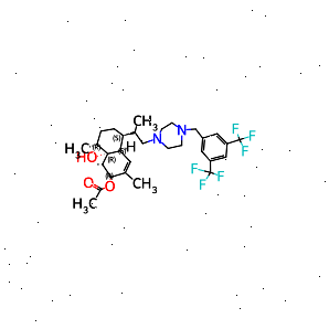 CC(=O)O[C@@H]1[CH][C@@]2(O)[C@H](C)CC[C@@H](C(C)CN3CCN(Cc4cc(C(F)(F)F)cc(C(F)(F)F)c4)CC3)[C@H]2C=C1C